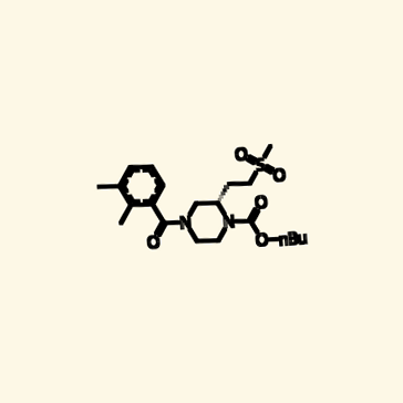 CCCCOC(=O)N1CCN(C(=O)c2cccc(C)c2C)C[C@@H]1CCS(C)(=O)=O